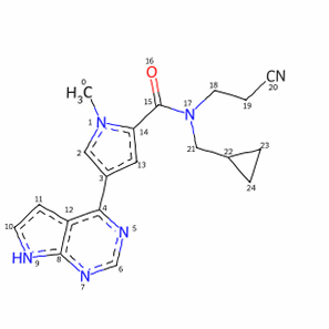 Cn1cc(-c2ncnc3[nH]ccc23)cc1C(=O)N(CCC#N)CC1CC1